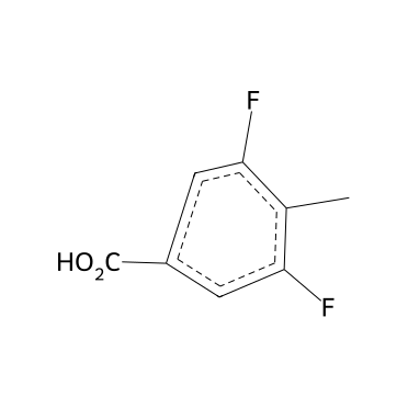 Cc1c(F)cc(C(=O)O)cc1F